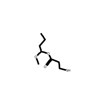 CCCC(OC)OC(=O)CCS